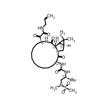 C=CCNC(=O)C(=O)[C@@H]1CCCCCCCCC[C@H](NC(=O)N[C@H](CN(C)S(C)(=O)=O)C(C)(C)C)C(=O)N2C[C@H]3[C@@H]([C@H]2C(=O)N1)C3(C)C